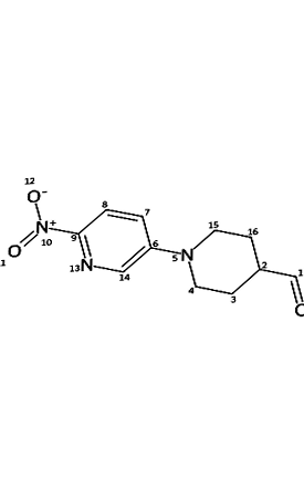 O=CC1CCN(c2ccc([N+](=O)[O-])nc2)CC1